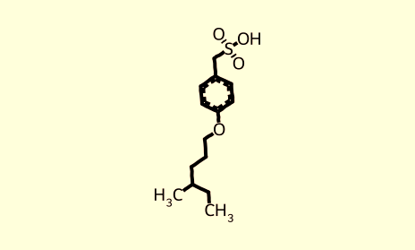 CCC(C)CCCOc1ccc(CS(=O)(=O)O)cc1